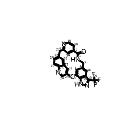 O=C(NCc1ccc2[nH]nc(C(F)(F)F)c2c1)c1ccnc(Cc2ccc3ncc(Cl)cc3c2)c1